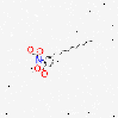 CCCCCCCCCCc1ccc(C(=O)OCC)c(N(C)C(=O)COC)c1